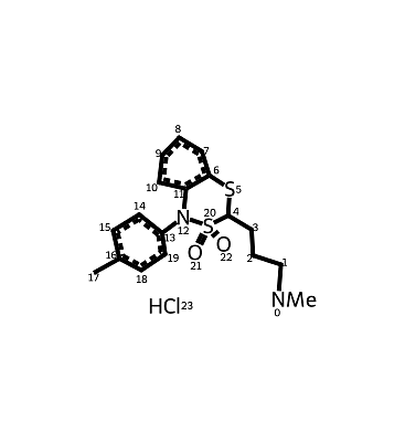 CNCCCC1Sc2ccccc2N(c2ccc(C)cc2)S1(=O)=O.Cl